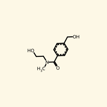 CN(CCO)C(=O)c1ccc(CO)cc1